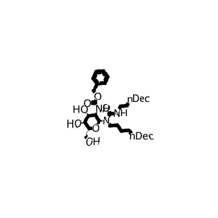 CCCCCCCCCCCCCCN(C(=O)NCCCCCCCCCCCC)[C@@H]1O[C@H](CO)[C@H](O)[C@H](O)[C@H]1NC(=O)OCc1ccccc1